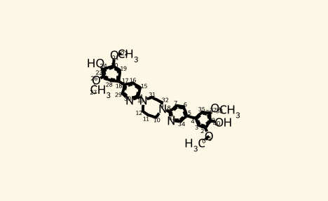 COc1cc(-c2ccc(N3CCCN(c4ccc(-c5cc(OC)c(O)c(OC)c5)cn4)CC3)nc2)cc(OC)c1O